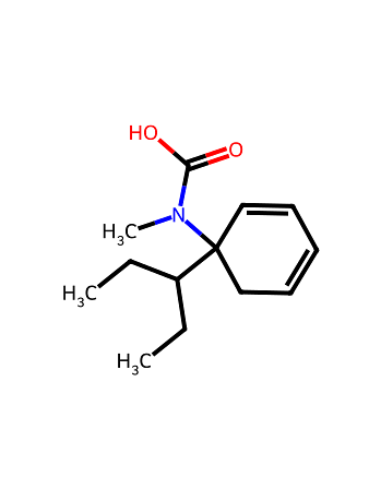 CCC(CC)C1(N(C)C(=O)O)C=CC=CC1